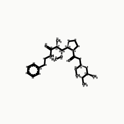 CC[C@H](C)C[C@@H](CC(=O)N1CCC[C@H]1[C@H](OC)[C@@H](C)C(=O)NCCc1ccccc1)OC